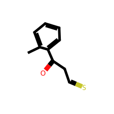 Cc1ccccc1C(=O)CC=S